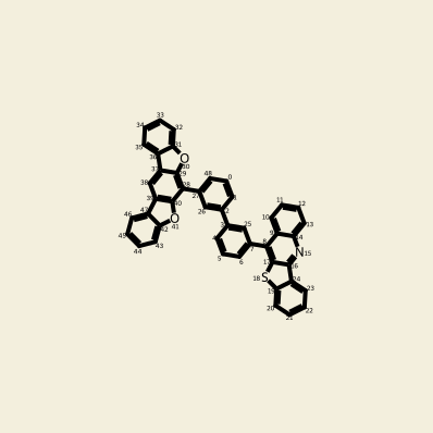 c1cc(-c2cccc(-c3c4ccccc4nc4c3sc3ccccc34)c2)cc(-c2c3oc4ccccc4c3cc3c2oc2ccccc23)c1